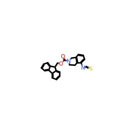 O=C(OCC1c2ccccc2-c2ccccc21)N1CCc2c(cccc2N=C=S)C1